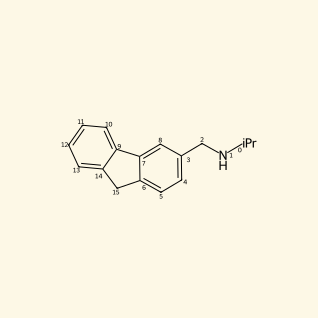 CC(C)NCc1ccc2c(c1)-c1ccccc1C2